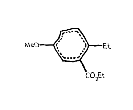 CCOC(=O)c1cc(OC)ccc1CC